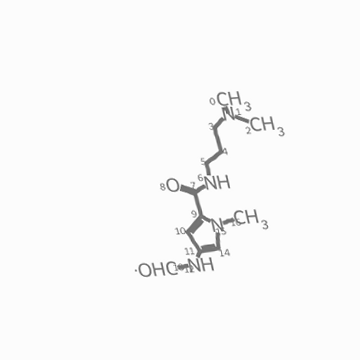 CN(C)CCCNC(=O)c1cc(N[C]=O)cn1C